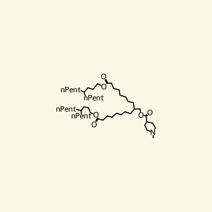 CCCCCC(CCCCC)CCCOC(=O)CCCCCCCC(CCCCCCCC(=O)OCCCC(CCCCC)CCCCC)COC(=O)C1CCN(C)CC1